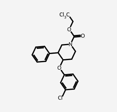 O=C(OCC(Cl)(Cl)Cl)N1CCC(Oc2cccc(Cl)c2)C(c2ccccc2)C1